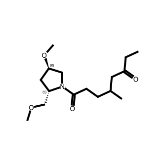 CCC(=O)CC(C)CCC(=O)N1C[C@H](OC)C[C@H]1COC